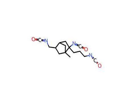 CC12CC(CN=C=O)C(C1)CC2(CCCN=C=O)N=C=O